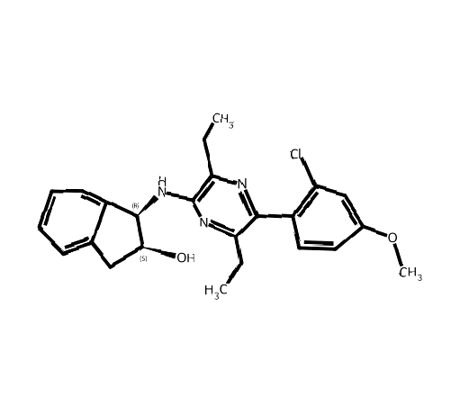 CCc1nc(-c2ccc(OC)cc2Cl)c(CC)nc1N[C@@H]1c2ccccc2C[C@@H]1O